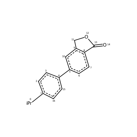 CC(C)c1ccc(-c2ccc3c(c2)COC3=O)cc1